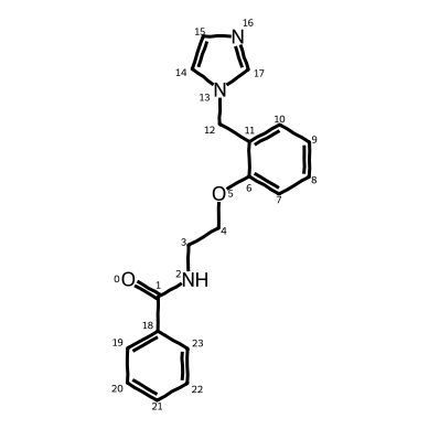 O=C(NCCOc1ccccc1Cn1ccnc1)c1ccccc1